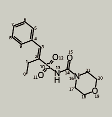 CC/C(=C\c1ccccc1)S(=O)(=O)NC(=O)N1CCOCC1